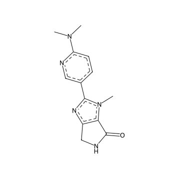 CN(C)c1ccc(-c2nc3c(n2C)C(=O)NC3)cn1